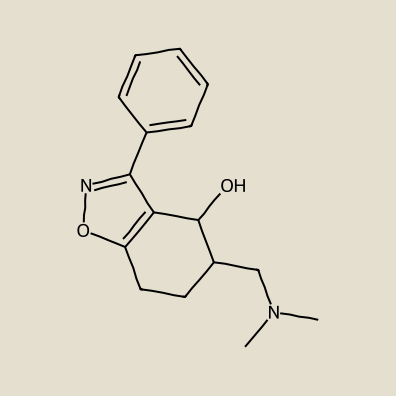 CN(C)CC1CCc2onc(-c3ccccc3)c2C1O